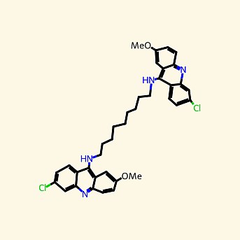 COc1ccc2nc3cc(Cl)ccc3c(NCCCCCCCCCNc3c4ccc(Cl)cc4nc4ccc(OC)cc34)c2c1